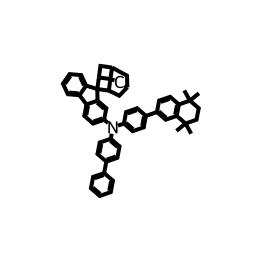 CC1(C)CCC(C)(C)c2cc(-c3ccc(N(c4ccc(-c5ccccc5)cc4)c4ccc5c(c4)C4(c6ccccc6-5)C5CC6CC7CC4C75C6)cc3)ccc21